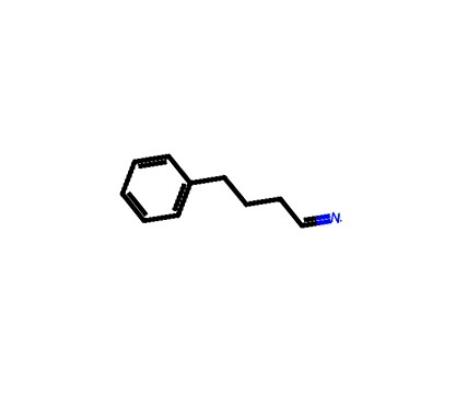 [N]=CCCCc1ccccc1